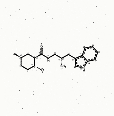 CC(C)[C@@H]1CC[C@@H](C)C[C@H]1C(=O)NC[C@@H](N)Cc1c[nH]c2ccccc12